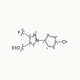 CCOC(=O)c1cn(-c2ccc(Cl)cc2)nc1C(F)(F)F